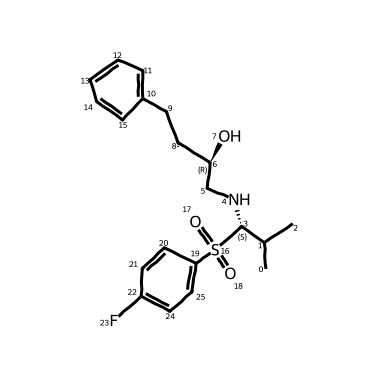 CC(C)[C@@H](NC[C@H](O)[CH]Cc1ccccc1)S(=O)(=O)c1ccc(F)cc1